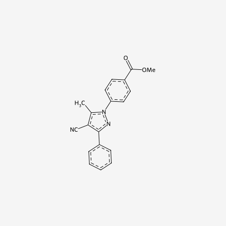 COC(=O)c1ccc(-n2nc(-c3ccccc3)c(C#N)c2C)cc1